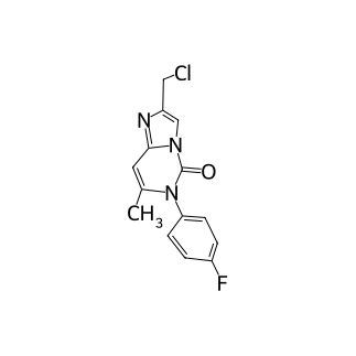 Cc1cc2nc(CCl)cn2c(=O)n1-c1ccc(F)cc1